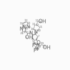 O=C(Nc1cc2c(cc1N1CCC(CO)CC1)O[C@](CCO)(C(F)(F)F)C2)c1cnn2cccnc12